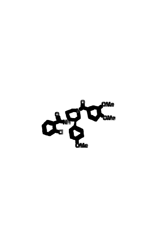 COc1ccc([C@@H]2CN(C(=O)c3ccc(OC)c(OC)c3)CC[C@H]2NC(=O)c2ccccc2Cl)cc1